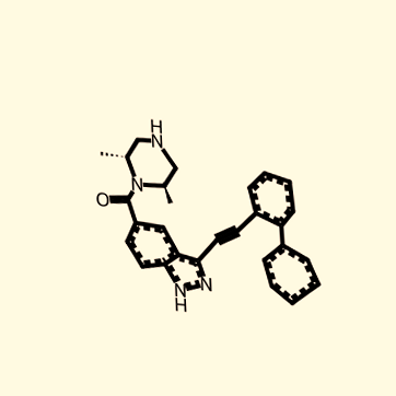 C[C@@H]1CNC[C@@H](C)N1C(=O)c1ccc2[nH]nc(C#Cc3ccccc3-c3ccccc3)c2c1